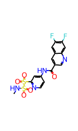 CNS(=O)(=O)S(=O)(=O)c1cc(NC(=O)c2cnc3cc(F)c(F)cc3c2)ccn1